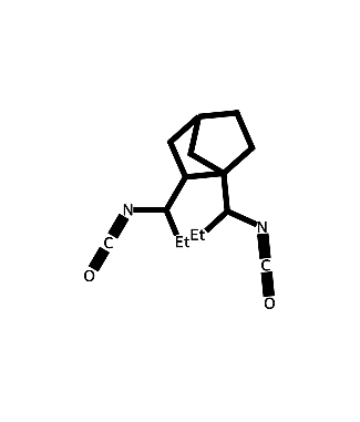 CCC(N=C=O)C1CC2CCC1(C(CC)N=C=O)C2